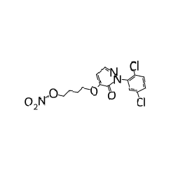 O=c1c(OCCCCO[N+](=O)[O-])ccnn1-c1cc(Cl)ccc1Cl